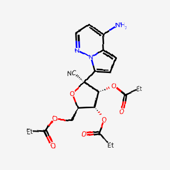 CCC(=O)OC[C@H]1O[C@@](C#N)(c2ccc3c(N)ccnn23)[C@H](OC(=O)CC)[C@@H]1OC(=O)CC